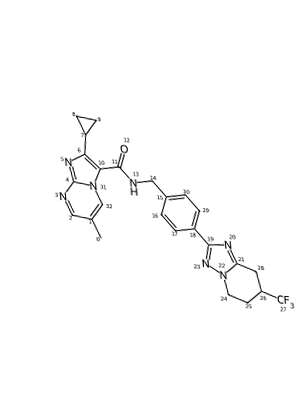 Cc1cnc2nc(C3CC3)c(C(=O)NCc3ccc(-c4nc5n(n4)CCC(C(F)(F)F)C5)cc3)n2c1